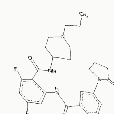 CCCN1CCC(NC(=O)c2c(F)cc(F)cc2NC(=O)c2cccc(N3CCCC3=O)c2)CC1